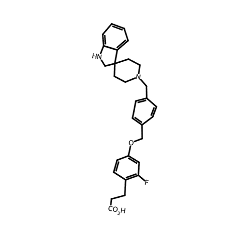 O=C(O)CCc1ccc(OCc2ccc(CN3CCC4(CC3)CNc3ccccc34)cc2)cc1F